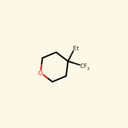 CCC1(C(F)(F)F)CCOCC1